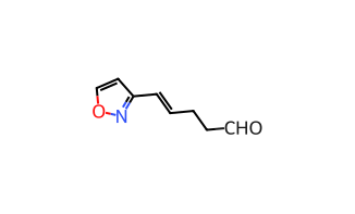 O=CCCC=Cc1ccon1